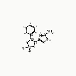 Nc1nc(C2CC(F)(F)CN2c2ccccc2)cs1